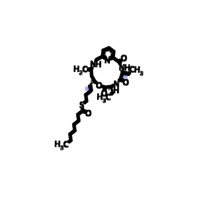 C=C1C[C@@H](/C=C/CCSC(=O)CCCCCCC)OC(=O)[C@H](CC)NC(=O)/C(=C/C)NC(=O)c2cccc(n2)CN1